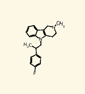 CC(Cn1c2c(c3ccccc31)CN(C)CC2)c1ccc(F)cc1